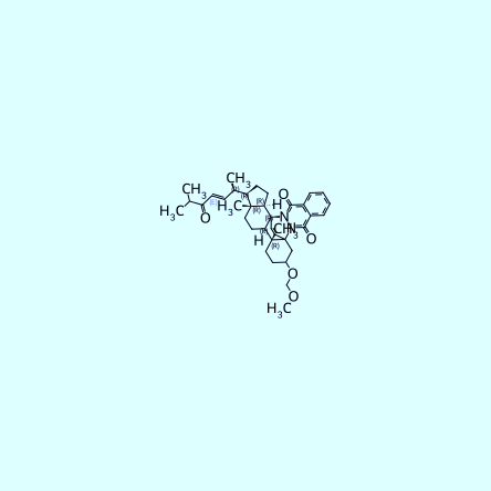 COCOC1CC[C@]2(C)[C@H]3CC[C@]4(C)[C@@H]([C@H](C)/C=C/C(=O)C(C)C)CC[C@H]4[C@]34C=CC2(C1)n1c(=O)c2ccccc2c(=O)n14